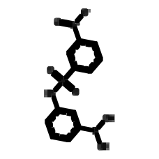 O=[N+]([O-])c1cccc(S(=O)(=O)Nc2cccc(B(O)O)c2)c1